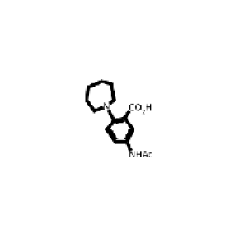 CC(=O)Nc1ccc(N2CCCCCC2)c(C(=O)O)c1